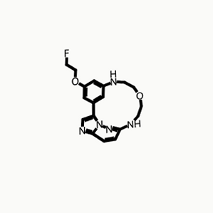 FCCOc1cc2cc(c1)-c1cnc3ccc(nn13)NCCOCCN2